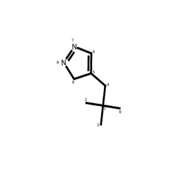 CC(C)(C)CC1=CN=NC1